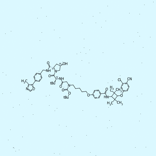 Cc1ncoc1-c1ccc(CNC(=O)[C@@H]2C[C@@H](O)CN2C(=O)[C@@H](NC(=O)CN(CCCCCOc2ccc(C(=O)NC3C(C)(C)C(Oc4ccc(C#N)c(Cl)c4)C3(C)C)cc2)C(=O)OC(C)(C)C)C(C)(C)C)cc1